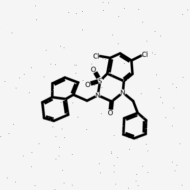 O=C1N(Cc2ccccc2)c2cc(Cl)cc(Cl)c2S(=O)(=O)N1Cc1cccc2ccccc12